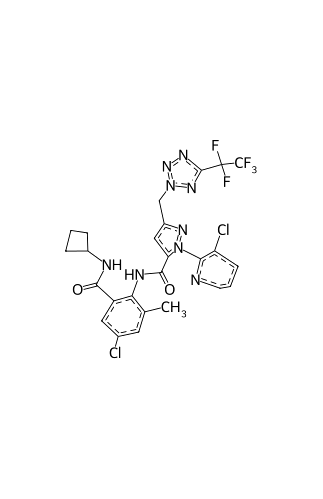 Cc1cc(Cl)cc(C(=O)NC2CCC2)c1NC(=O)c1cc(Cn2nnc(C(F)(F)C(F)(F)F)n2)nn1-c1ncccc1Cl